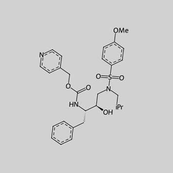 COc1ccc(S(=O)(=O)N(CC(C)C)C[C@@H](O)[C@H](Cc2ccccc2)NC(=O)OCc2ccncc2)cc1